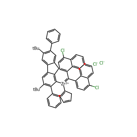 CC(C)(C)c1cc2c(cc1-c1ccccc1)Cc1c-2cc(C(C)(C)C)c(-c2ccccc2)[c]1[Zr+2]([C]1=CC=CC1)=[C](c1ccc(Cl)c2ccccc12)c1ccc(Cl)c2ccccc12.[Cl-].[Cl-]